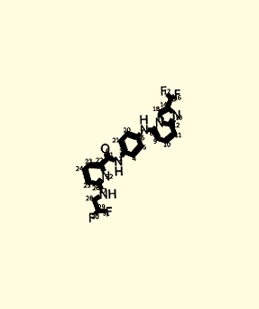 O=C(Nc1ccc(Nc2cccc3nc(C(F)F)cn23)cc1)c1cccc(NCC(F)F)n1